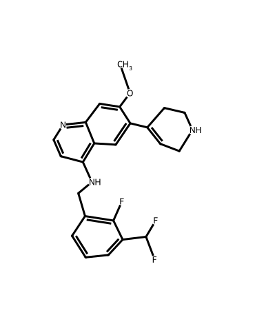 COc1cc2nccc(NCc3cccc(C(F)F)c3F)c2cc1C1=CCNCC1